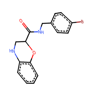 O=C(NCc1ccc(Br)cc1)C1CNc2ccccc2O1